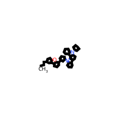 CCCCc1ccc2oc3c(-c4cccc(-n5c6ccccc6c6ccc7c(c8ccccc8n7-c7ccccc7)c65)c4)cccc3c2c1